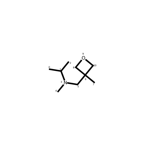 CC(C)N(C)CC1(C)COC1